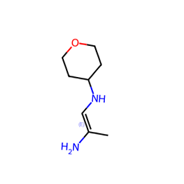 C/C(N)=C\NC1CCOCC1